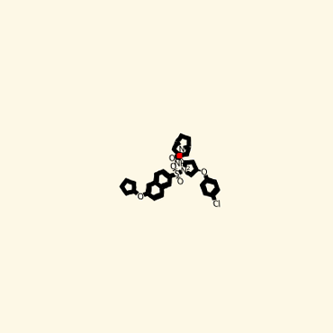 NC1CC2CCC(C1)N2C(=O)[C@@H]1C[C@H](Oc2ccc(Cl)cc2)CN1S(=O)(=O)c1ccc2cc(OC3CCCC3)ccc2c1